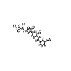 CC(=O)NC[C@H]1CN(c2ccc(C=C(F)c3cccc(C#N)c3)c(F)c2)C(=O)O1